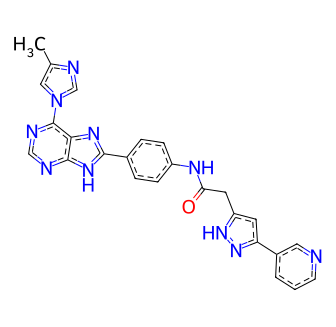 Cc1cn(-c2ncnc3[nH]c(-c4ccc(NC(=O)Cc5cc(-c6cccnc6)n[nH]5)cc4)nc23)cn1